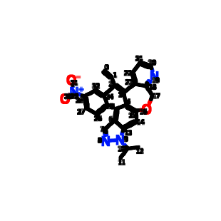 C=CC(=C1c2cc3cnn(C(C)C)c3cc2OCc2ncccc21)c1cccc([N+](=O)[O-])c1